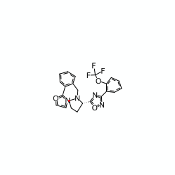 FC(F)(F)Oc1ccccc1-c1noc([C@@H]2CCCN2Cc2ccccc2-c2ncco2)n1